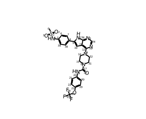 CS(=O)(=O)Nc1ccc(-c2cc3c(N4CCN(C(=O)Nc5ccc(OC(F)(F)F)cc5)CC4)ncnc3[nH]2)cc1